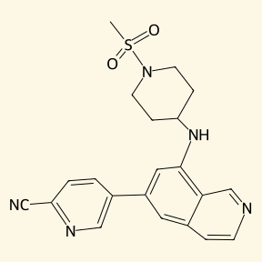 CS(=O)(=O)N1CCC(Nc2cc(-c3ccc(C#N)nc3)cc3ccncc23)CC1